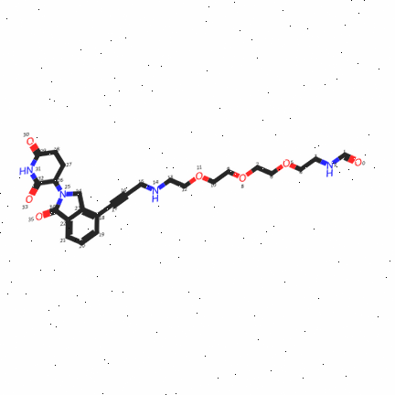 O=CNCCOCCOCCOCCNCC#Cc1cccc2c1CN(C1CCC(=O)NC1=O)C2=O